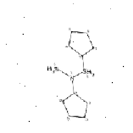 [SiH3]N([SiH2]C1CCCC1)C1CCCC1